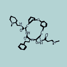 CN(C)CCC(=O)N[C@H]1Cc2cccc(c2)Oc2cccc(c2)C[C@@H](C(=O)NCC2CCCCN2C)NC(=O)[C@H](CCc2ccccc2)NC1O